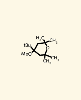 COC1(C(C)(C)C)CC(C)(C)OC(C)(C)C1